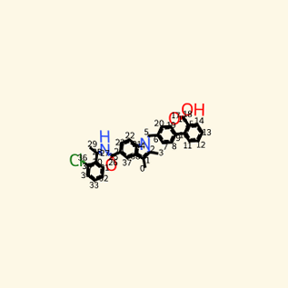 Cc1c(C)n(Cc2ccc(-c3ccccc3C(=O)O)cc2)c2ccc(C(=O)NC(C)c3ccccc3Cl)cc12